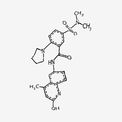 Cc1cc(O)nc2ccc(NC(=O)c3cc(S(=O)(=O)N(C)C)ccc3N3CCCC3)cc12